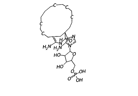 NC1=C2CCCCCCCCCCCCCCC(c3ncn(C4OC(COP(=O)(O)O)C(O)C4O)c3N)(C2)C(=O)N1